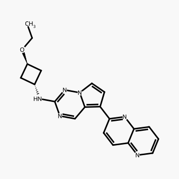 CCO[C@H]1C[C@H](Nc2ncc3c(-c4ccc5ncccc5n4)ccn3n2)C1